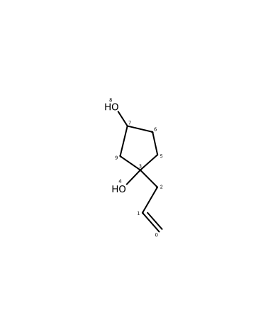 C=CCC1(O)CCC(O)C1